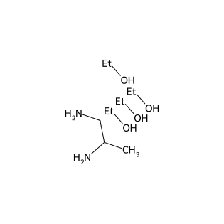 CC(N)CN.CCO.CCO.CCO.CCO